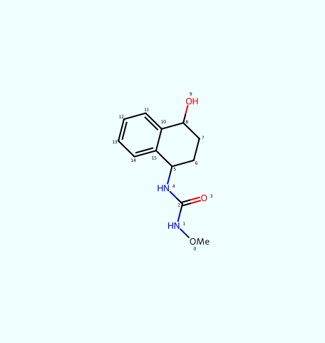 CONC(=O)NC1CCC(O)c2ccccc21